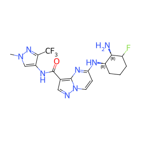 Cn1cc(NC(=O)c2cnn3ccc(N[C@@H]4CCCC(F)[C@@H]4N)nc23)c(C(F)(F)F)n1